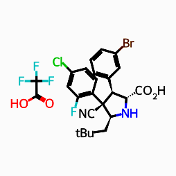 CC(C)(C)C[C@@H]1N[C@@H](C(=O)O)[C@H](c2cccc(Br)c2)[C@@]1(C#N)c1ccc(Cl)cc1F.O=C(O)C(F)(F)F